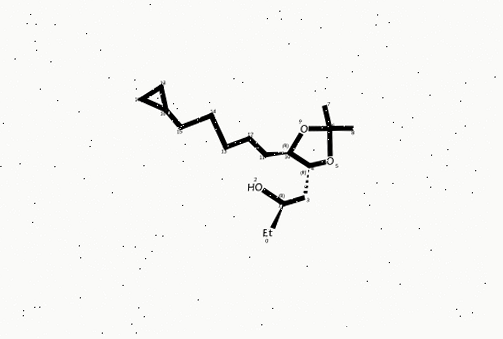 CC[C@@H](O)C[C@H]1OC(C)(C)O[C@@H]1CCCCCC1CC1